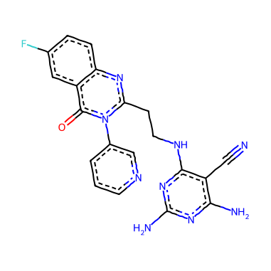 N#Cc1c(N)nc(N)nc1NCCc1nc2ccc(F)cc2c(=O)n1-c1cccnc1